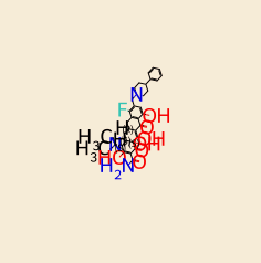 CCN(CC)[C@@H]1C(O)=C(C(N)=O)C(=O)[C@@]2(O)C(O)=C3C(=O)c4c(O)cc(CN5CCC(c6ccccc6)CC5)c(F)c4C[C@H]3C[C@@H]12